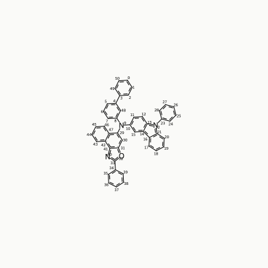 c1ccc(-c2cccc(N(c3ccc4c(c3)c3ccccc3n4-c3ccccc3)c3cc4oc(-c5ccccc5)nc4c4ccccc34)c2)cc1